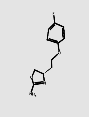 NC1=N[C@@H](CCOc2ccc(F)cc2)CO1